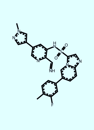 Cc1ccc(-c2ccc3ncc(S(=O)(=O)Nc4cc(-c5cnn(C)c5)cnc4C=N)n3c2)cc1F